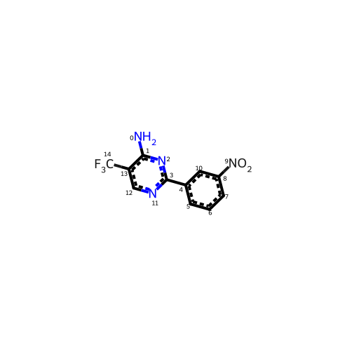 Nc1nc(-c2cccc([N+](=O)[O-])c2)ncc1C(F)(F)F